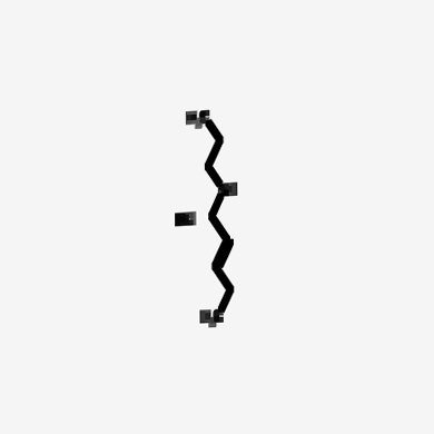 CC/C=C/CNCCC.Cl